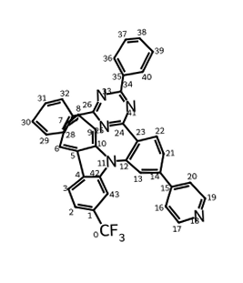 FC(F)(F)c1ccc2c3ccccc3n(-c3cc(-c4ccncc4)ccc3-c3nc(-c4ccccc4)nc(-c4ccccc4)n3)c2c1